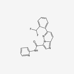 O=C(Nc1ccccn1)c1cnc2ccc(-c3ccccc3C(F)F)nn12